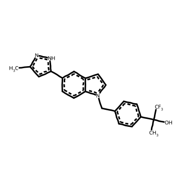 Cc1cc(-c2ccc3c(ccn3Cc3ccc(C(C)(O)C(F)(F)F)cc3)c2)[nH]n1